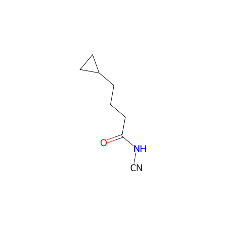 N#CNC(=O)CCCC1CC1